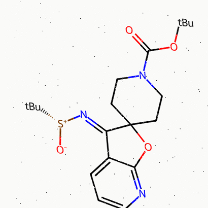 CC(C)(C)OC(=O)N1CCC2(CC1)Oc1ncccc1C2=N[S@+]([O-])C(C)(C)C